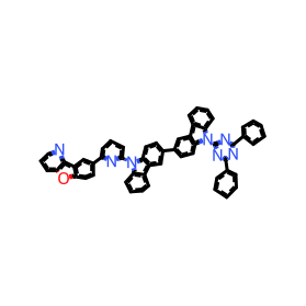 c1ccc(-c2nc(-c3ccccc3)nc(-n3c4ccccc4c4cc(-c5ccc6c(c5)c5ccccc5n6-c5cccc(-c6ccc7oc8cccnc8c7c6)n5)ccc43)n2)cc1